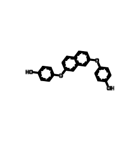 Oc1ccc(Oc2ccc3ccc(Oc4ccc(O)cc4)cc3c2)cc1